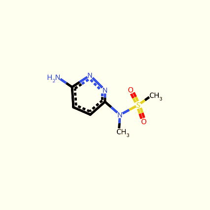 CN(c1ccc(N)nn1)S(C)(=O)=O